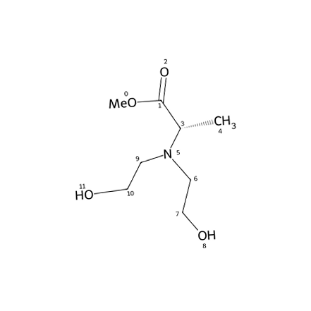 COC(=O)[C@H](C)N(CCO)CCO